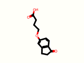 O=C(O)CCCOc1ccc2c(c1)CCC2=O